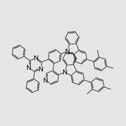 Cc1ccc(-c2ccc3c(c2)c2ccccc2n3-c2ccc(-c3nc(-c4ccccc4)nc(-c4ccccc4)n3)c(-c3cnccc3-n3c4ccccc4c4cc(-c5ccc(C)cc5C)ccc43)c2)c(C)c1